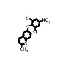 Cc1ccc2cc(Oc3c(Cl)cc([N+](=O)[O-])cc3Cl)ccc2n1